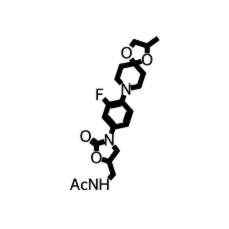 CC(=O)NCC1CN(c2ccc(N3CCC4(CC3)OCC(C)O4)c(F)c2)C(=O)O1